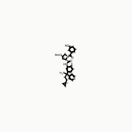 CO[C@@H]1C[C@H](C(=O)Nc2cc(C(N)(CCC3CC3)c3ccncc3)ccc2F)N(C(=O)c2cccc(C#N)c2)C1